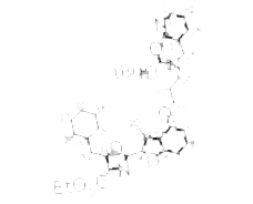 CCOC(=O)c1nc(-c2oc3cccc(OCCCN(Cc4cccnc4)C(=O)OC(C)(C)C)c3c2C)oc1CC1CCCCC1